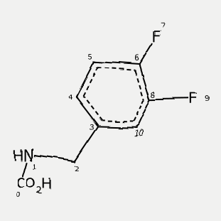 O=C(O)NCc1ccc(F)c(F)c1